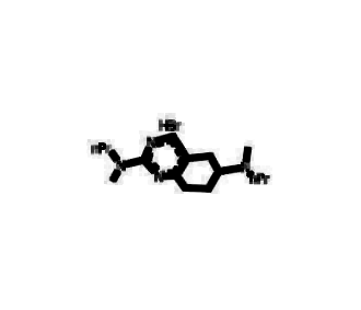 Br.CCCN(C)c1ncc2c(n1)CCC(N(C)CCC)C2